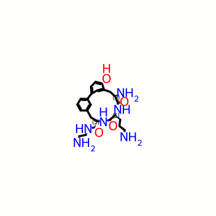 NCCC[C@@H]1NC(=O)[C@@H](N)Cc2cc(ccc2O)-c2cccc(c2)C[C@@H](C(=O)NCCN)NC1=O